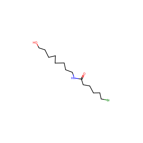 O=C(CCCCCBr)NCCCCCCCCO